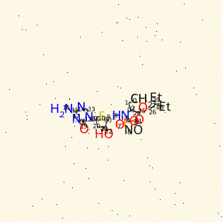 C=C[C@H](NP(=O)(N=O)OC[C@H]1S[C@@H](n2cnc(N)nc2=O)C[C@H]1O)C(=O)OCC(CC)CC